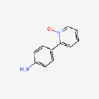 Nc1ccc(-c2cccc[n+]2[O-])cc1